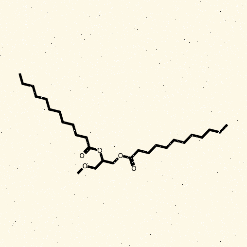 CCCCCCCCCCCC(=O)OCC(COC)OC(=O)CCCCCCCCCCC